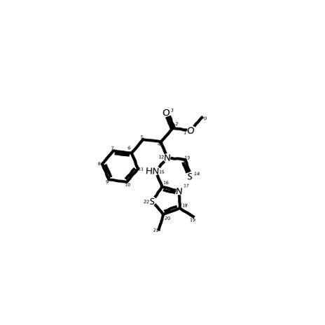 COC(=O)C(Cc1ccccc1)N(C=S)Nc1nc(C)c(C)s1